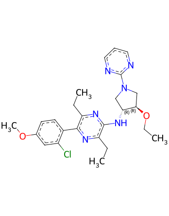 CCO[C@@H]1CN(c2ncccn2)C[C@H]1Nc1nc(CC)c(-c2ccc(OC)cc2Cl)nc1CC